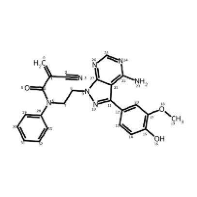 C=C(C#N)C(=O)N(CCn1nc(-c2ccc(O)c(OC)c2)c2c(N)ncnc21)c1ccccc1